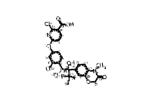 C[C@H](c1ccc(Oc2ccc(C(=O)O)c(Cl)n2)cc1Cl)[C@@](O)(c1ccc2c(c1)OCC(=O)N2C)C(F)(F)F